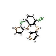 Brc1ccc(Br)c(Sc2ccsc2)c1Sc1ccsc1